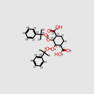 CC(C)(OOC1C(C(=O)O)CCC(C(=O)O)C1OOC(C)(C)c1ccccc1)c1ccccc1